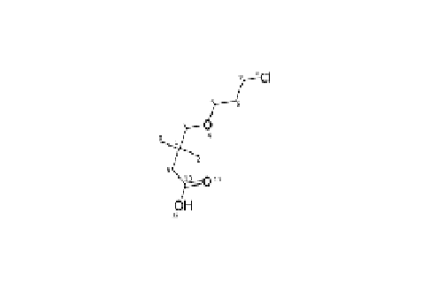 CC(C)(COCCCCl)CC(=O)O